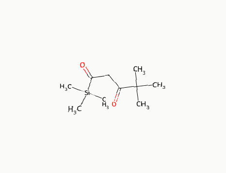 CC(C)(C)C(=O)CC(=O)[Si](C)(C)C